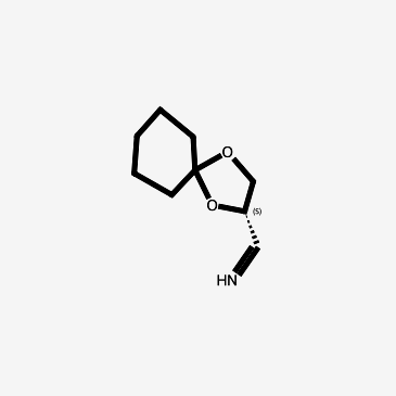 N=C[C@H]1COC2(CCCCC2)O1